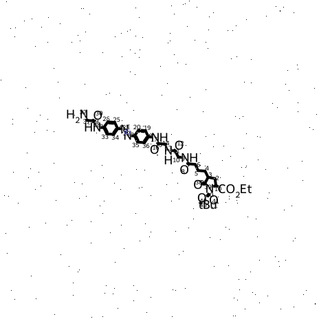 CCOC(=O)C1CC(CCCC(=O)NCC(=O)NCC(=O)Nc2ccc(/N=N/c3ccc(NC(=O)CN)cc3)cc2)C(=O)N1C(=O)OC(C)(C)C